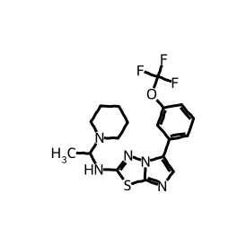 CC(Nc1nn2c(-c3cccc(OC(F)(F)F)c3)cnc2s1)N1CCCCC1